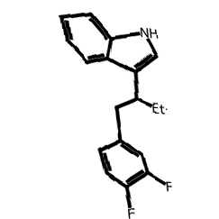 C[CH]C(Cc1ccc(F)c(F)c1)c1c[nH]c2ccccc12